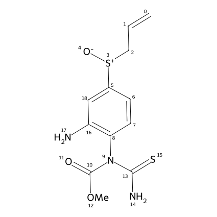 C=CC[S+]([O-])c1ccc(N(C(=O)OC)C(N)=S)c(N)c1